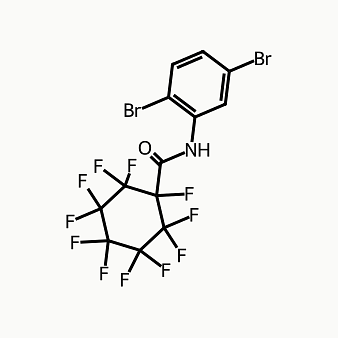 O=C(Nc1cc(Br)ccc1Br)C1(F)C(F)(F)C(F)(F)C(F)(F)C(F)(F)C1(F)F